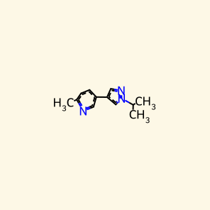 Cc1ccc(-c2cnn(C(C)C)c2)cn1